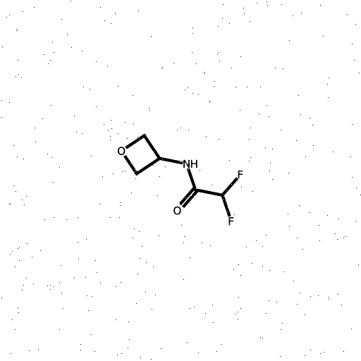 O=C(NC1COC1)C(F)F